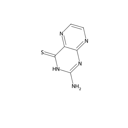 Nc1nc2nccnc2c(=S)[nH]1